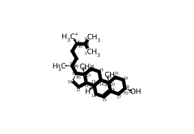 CC(C)[C@H](C)CC[C@@H](C)[C@H]1CCC2[C@@H]3CC=C4C[C@@H](O)CC[C@]4(C)C3CC[C@@]21C